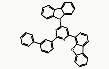 c1ccc(-c2cccc(-c3nc(-c4cccc5c4oc4ccccc45)cc(-n4c5ccccc5c5ccccc54)n3)c2)cc1